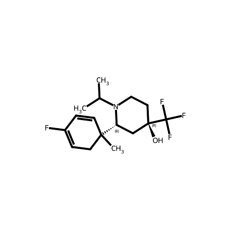 CC(C)N1CC[C@](O)(C(F)(F)F)C[C@@H]1C1(C)C=CC(F)=CC1